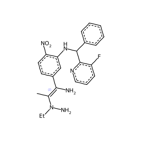 CCN(N)/C(C)=C(\N)c1ccc([N+](=O)[O-])c(NC(c2ccccc2)c2ncccc2F)c1